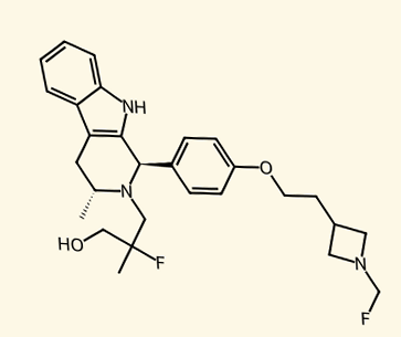 C[C@@H]1Cc2c([nH]c3ccccc23)[C@@H](c2ccc(OCCC3CN(CF)C3)cc2)N1CC(C)(F)CO